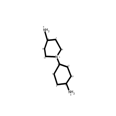 NC1CCC(N2CCC(N)CC2)CC1